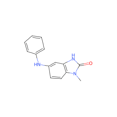 Cn1c(=O)[nH]c2cc(Nc3ccccc3)ccc21